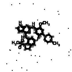 COc1cc(N2CCN(C)CC2)c(F)cc1Nc1nc(Nc2cccc3c2N(S(C)(=O)=O)CC3)c2cc[nH]c2n1